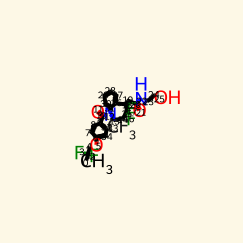 CC(F)(F)COc1ccc(C(=O)N2CCC(F)(F)C(=CC(=O)NCCO)c3ccccc32)c(C(F)(F)F)c1